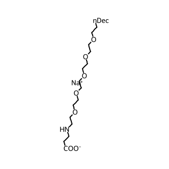 CCCCCCCCCCCCOCCOCCOCCOCCOCCNCCC(=O)[O-].[Na+]